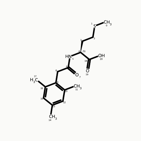 CSCC[C@H](NC(=O)Cc1c(C)cc(C)cc1C)C(=O)O